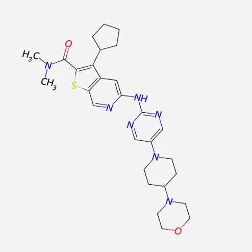 CN(C)C(=O)c1sc2cnc(Nc3ncc(N4CCC(N5CCOCC5)CC4)cn3)cc2c1C1CCCC1